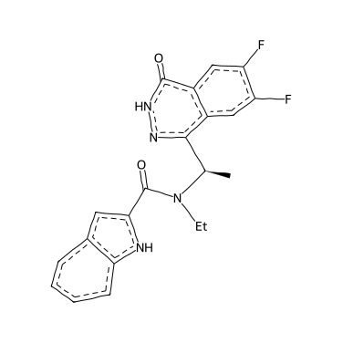 CCN(C(=O)c1cc2ccccc2[nH]1)[C@H](C)c1n[nH]c(=O)c2cc(F)c(F)cc12